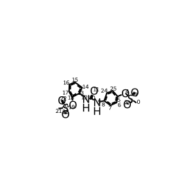 CS(=O)(=O)Oc1ccc(NC(=O)Nc2ccccc2OS(C)(=O)=O)cc1